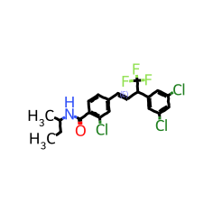 CCC(C)NC(=O)c1ccc(/C=C/C(c2cc(Cl)cc(Cl)c2)C(F)(F)F)cc1Cl